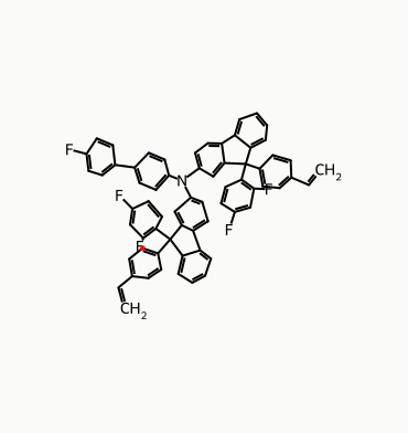 C=Cc1ccc(C2(c3ccc(F)cc3F)c3ccccc3-c3ccc(N(c4ccc(-c5ccc(F)cc5)cc4)c4ccc5c(c4)C(c4ccc(C=C)cc4)(c4ccc(F)cc4F)c4ccccc4-5)cc32)cc1